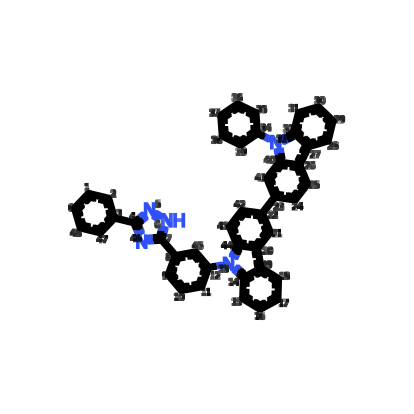 c1ccc(-c2n[nH]c(-c3cccc(-n4c5ccccc5c5cc(-c6ccc7c8ccccc8n(-c8ccccc8)c7c6)ccc54)c3)n2)cc1